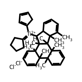 CC1=CC=CC2[CH]([Ti+2]([C]3=CC=CC3)=[C]3CCCC3)C3(C)C4(C)C=CC=CC4(C)C4(C)C=CC=CC4(C)C3(C)C12C.[Cl-].[Cl-]